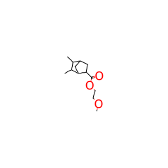 COCCOC(=O)C1CC2CC1C(C)C2C